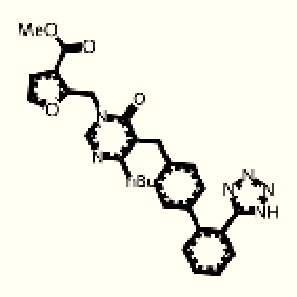 CCCCc1ncn(Cc2occc2C(=O)OC)c(=O)c1Cc1ccc(-c2ccccc2-c2nnn[nH]2)cc1